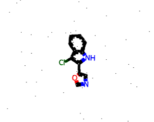 Clc1c(-c2cnco2)[nH]c2ccccc12